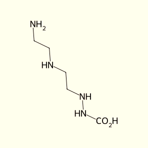 NCCNCCNNC(=O)O